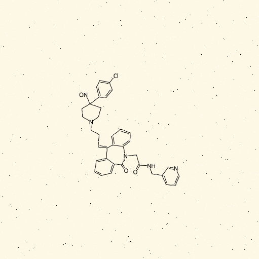 O=NC1(c2ccc(Cl)cc2)CCN(CCC=C2c3ccccc3C(=O)N(CC(=O)NCc3cccnc3)c3ccccc32)CC1